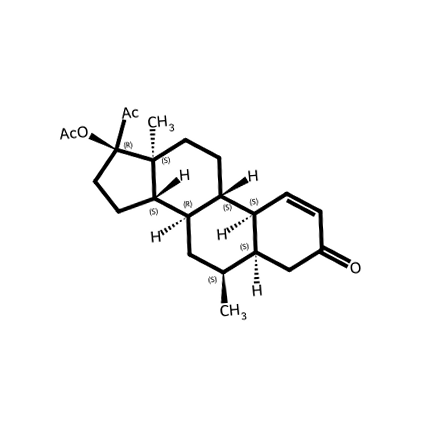 CC(=O)O[C@]1(C(C)=O)CC[C@H]2[C@@H]3C[C@H](C)[C@@H]4CC(=O)C=C[C@@H]4[C@H]3CC[C@@]21C